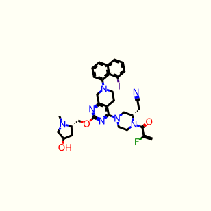 C=C(F)C(=O)N1CCN(c2nc(OC[C@@H]3CC(O)CN3C)nc3c2CCN(c2cccc4cccc(I)c24)C3)C[C@@H]1CC#N